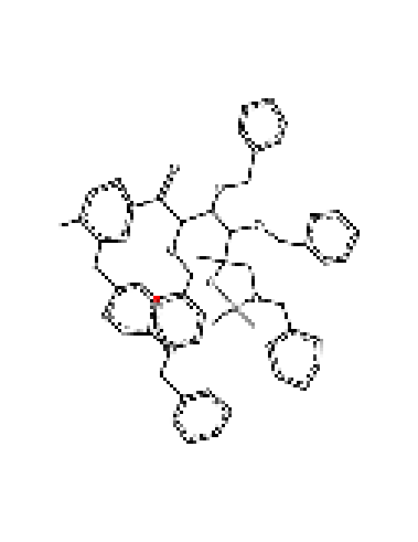 Cc1ccc(C(=O)C(OCc2ccccc2)C(OCc2ccccc2)C(OCc2ccccc2)C(C)(COCc2ccccc2)O[Si](C)(C)C)cc1Cc1ccc(OCc2ccccc2)cc1